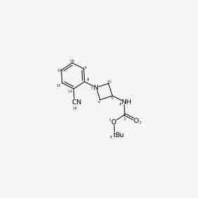 CC(C)(C)OC(=O)NC1CN(c2ccccc2C#N)C1